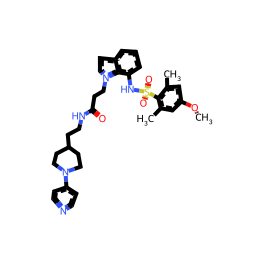 COc1cc(C)c(S(=O)(=O)Nc2cccc3ccn(CCC(=O)NCCC4CCN(c5ccncc5)CC4)c23)c(C)c1